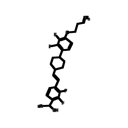 C=CCCOc1ccc(C2CCC(/C=C/c3ccc(C(O)CCC)c(F)c3F)CC2)c(F)c1F